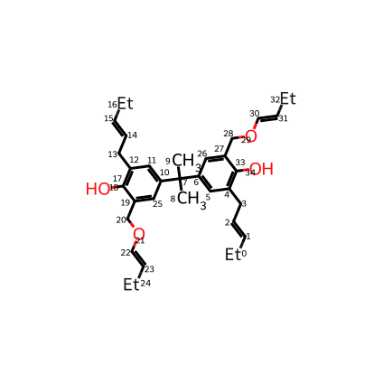 CCC=CCc1cc(C(C)(C)c2cc(CC=CCC)c(O)c(COC=CCC)c2)cc(COC=CCC)c1O